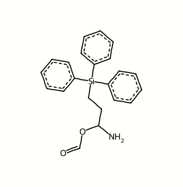 NC(CC[Si](c1ccccc1)(c1ccccc1)c1ccccc1)OC=O